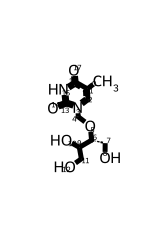 Cc1cn(CO[C@H](CO)C(O)CO)c(=O)[nH]c1=O